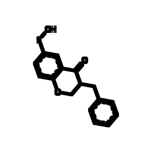 O=C1c2cc(SO)ccc2OCC1Cc1ccccc1